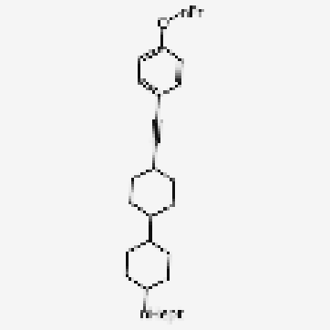 CCCCCCCC1CCC(C2CCC(C#Cc3ccc(OCCC)cc3)CC2)CC1